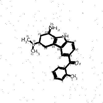 Cc1ccccc1C(=O)c1ccc2[nH]c3c(c2c1)CC(N(C)C)CC3N